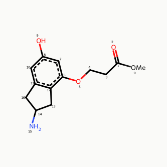 COC(=O)CCOc1cc(O)cc2c1CC(N)C2